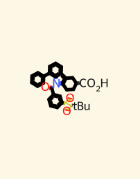 CC(C)(C)S(=O)(=O)c1cccc(C(=O)n2c3c(c4cccc(-c5ccccc5)c42)CC(C(=O)O)CC3)c1